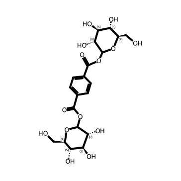 O=C(OC1O[C@H](CO)[C@@H](O)[C@H](O)[C@H]1O)c1ccc(C(=O)OC2O[C@H](CO)[C@@H](O)[C@H](O)[C@H]2O)cc1